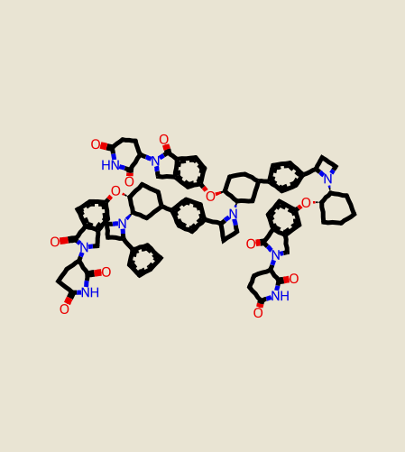 O=C1CCC(N2Cc3cc(O[C@H]4CCCC[C@H]4N4CCC4c4ccc(C5CC[C@H](Oc6ccc7c(c6)CN(C6CCC(=O)NC6=O)C7=O)[C@@H](N6CCC6c6ccc(C7CC[C@@H](Oc8ccc9c(c8)CN(C8CCC(=O)NC8=O)C9=O)[C@H](N8CCC8c8ccccc8)C7)cc6)C5)cc4)ccc3C2=O)C(=O)N1